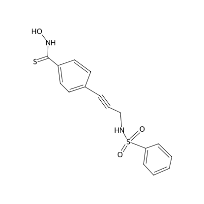 O=S(=O)(NCC#Cc1ccc(C(=S)NO)cc1)c1ccccc1